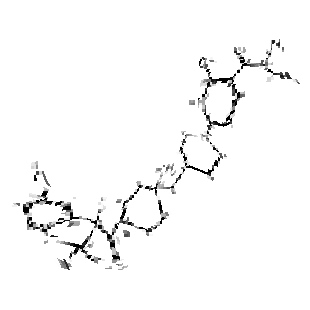 CN(C)C(=O)c1ccc(N2CCC(CC3(C)CCN(C(=O)C(O)(c4cccc(Cl)c4)C(F)(F)F)CC3)CC2)nc1Cl